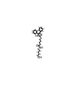 O=C(CCCCSc1nc(-c2ccccc2)c(-c2ccccc2)[nH]1)NCCCCCO